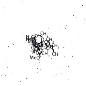 C#CCCN(C)C1C[C@@H](C)O[C@@H](O[C@@H]2[C@@H](C)C([C@@H](CCC)OC(C)[C@H](O)COC)[C@@H](C)C(=O)OC(CC)[C@@](C)(O)C3OCC(=C)CO[C@]2(C)C[C@@H](C)/C(=N\O)[C@@H]3C)[C@@H]1O